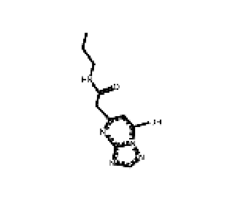 CCCNC(=O)Cc1cc(O)n2ncnc2n1